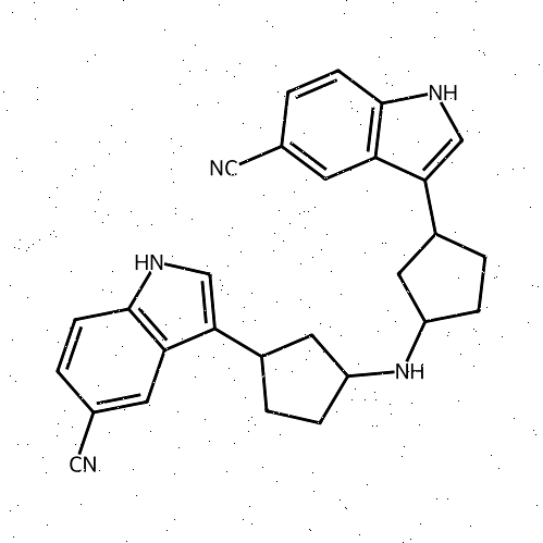 N#Cc1ccc2[nH]cc(C3CCC(NC4CCC(c5c[nH]c6ccc(C#N)cc56)C4)C3)c2c1